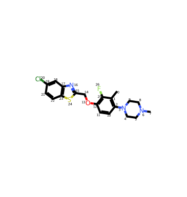 Cc1c(N2CCN(C)CC2)ccc(OCc2nc3cc(Cl)ccc3s2)c1F